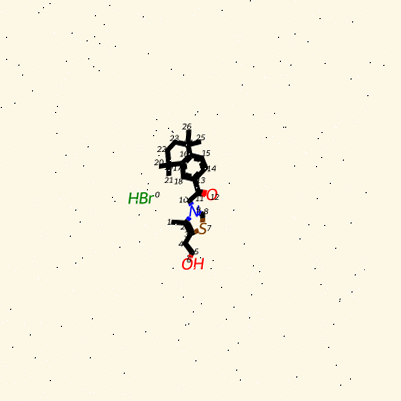 Br.CC1=C(CCO)SCN1CC(=O)c1ccc2c(c1)C(C)(C)CCC2(C)C